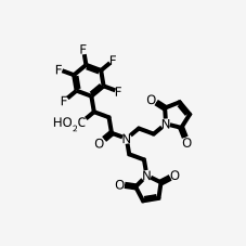 O=C(O)C(CC(=O)N(CCN1C(=O)C=CC1=O)CCN1C(=O)C=CC1=O)c1c(F)c(F)c(F)c(F)c1F